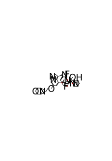 N#Cc1cnn2cc(OCCN3C4CCC3COC4)cc(-c3ccc(N4CC5CC(C4)N5CC(O)c4c(F)cccc4F)nc3)c12